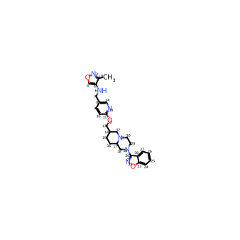 Cc1nocc1NCc1ccc(OCC2CCC3CN(c4noc5ccccc45)CCN3C2)nc1